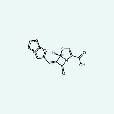 O=C(O)C1=CS[C@H]2/C(=C\c3cn4ccsc4n3)C(=O)N12